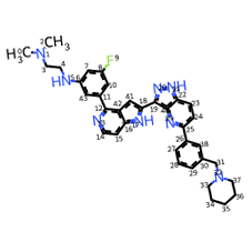 CN(C)CCNc1cc(F)cc(-c2nccc3[nH]c(-c4n[nH]c5ccc(-c6cccc(CN7CCCCC7)c6)nc45)cc23)c1